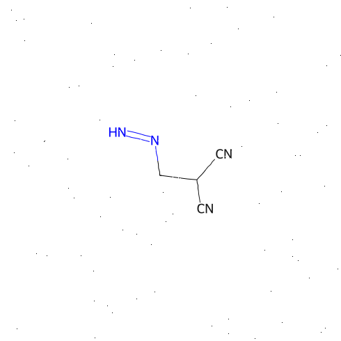 N#CC(C#N)CN=N